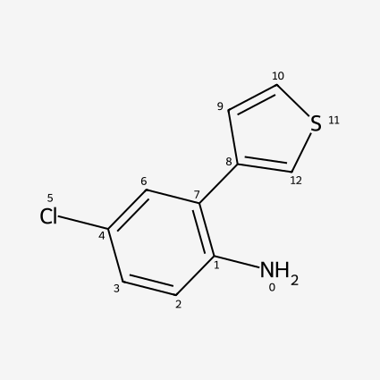 Nc1ccc(Cl)cc1-c1ccsc1